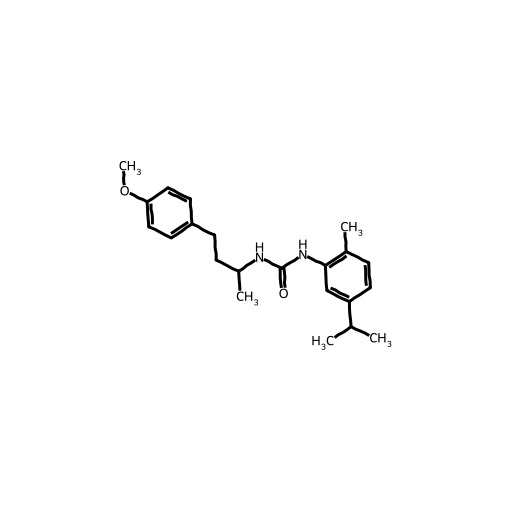 COc1ccc(CCC(C)NC(=O)Nc2cc(C(C)C)ccc2C)cc1